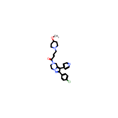 COC1CCN(C/C=C/C(=O)N2CCn3nc(-c4ccc(Cl)cc4)c(-c4ccncc4)c3C2)CC1